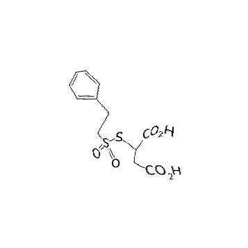 O=C(O)CC(SS(=O)(=O)CCc1ccccc1)C(=O)O